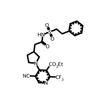 CCOC(=O)c1c(C(F)(F)F)ncc(C#N)c1N1CCC(CC(=O)NS(=O)(=O)CCc2ccccc2)C1